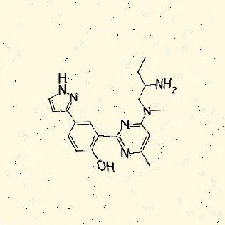 CCC(N)CN(C)c1cc(C)nc(-c2cc(-c3cc[nH]n3)ccc2O)n1